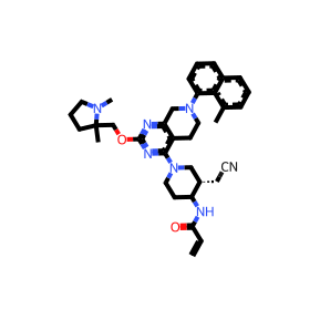 C=CC(=O)NC1CCN(c2nc(OCC3(C)CCCN3C)nc3c2CCN(c2cccc4cccc(C)c24)C3)C[C@@H]1CC#N